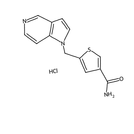 Cl.NC(=O)c1csc(Cn2ccc3cnccc32)c1